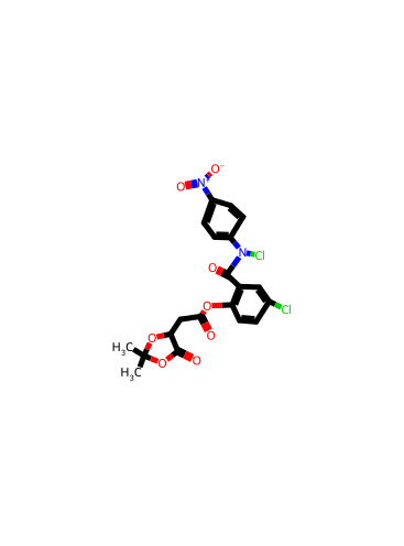 CC1(C)OC(=O)C(CC(=O)Oc2ccc(Cl)cc2C(=O)N(Cl)c2ccc([N+](=O)[O-])cc2)O1